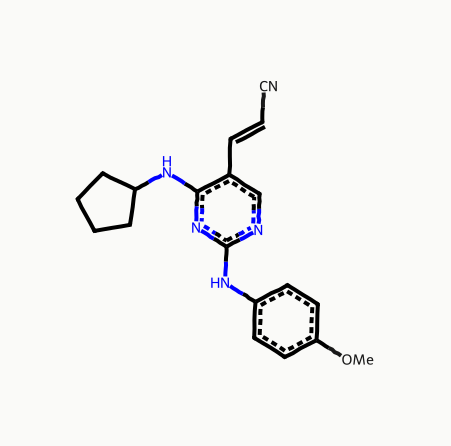 COc1ccc(Nc2ncc(C=CC#N)c(NC3CCCC3)n2)cc1